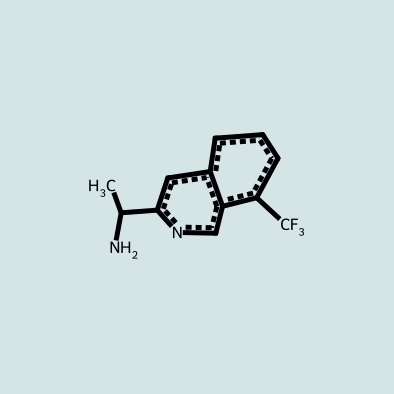 CC(N)c1cc2cccc(C(F)(F)F)c2cn1